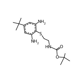 CC(C)(C)OC(=O)NCCSc1c(N)cc(C(C)(C)C)cc1N